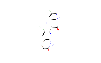 O=C1CSc2cc(Br)c(C3Nc4cc(Cl)[c]nc4SC3=O)nc2N1